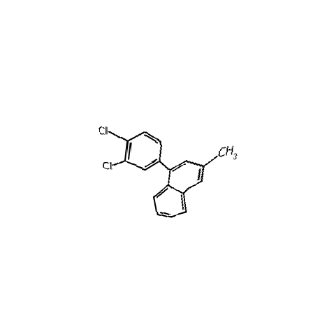 Cc1cc(-c2ccc(Cl)c(Cl)c2)c2ccccc2c1